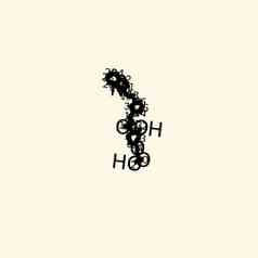 O=C(O)COc1ccc(C(=O)/C=C/c2cccc(/C=C/c3ccc4ccccc4n3)c2)c(O)c1